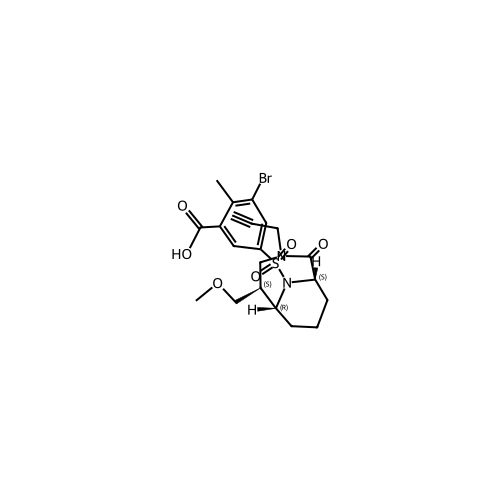 C#CCN1C[C@H](COC)[C@H]2CCC[C@@H](C1=O)N2S(=O)(=O)c1cc(Br)c(C)c(C(=O)O)c1